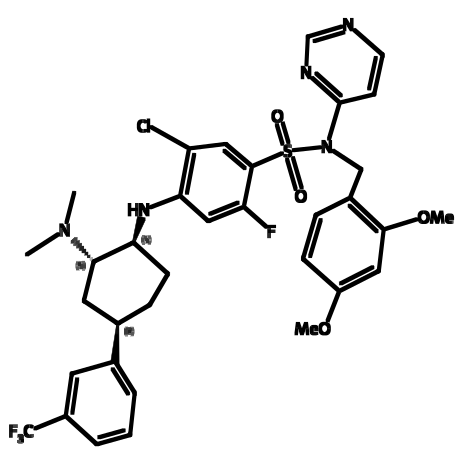 COc1ccc(CN(c2ccncn2)S(=O)(=O)c2cc(Cl)c(N[C@H]3CC[C@@H](c4cccc(C(F)(F)F)c4)C[C@@H]3N(C)C)cc2F)c(OC)c1